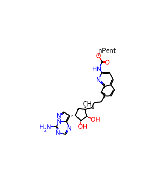 CCCCCOC(=O)Nc1ccc2ccc(CCC[C@@]3(C)C[C@@H](c4cnn5c(N)ncnc45)[C@H](O)[C@@H]3O)cc2n1